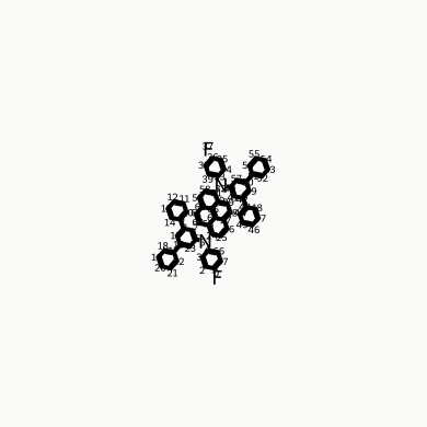 Fc1ccc(N(c2cc(-c3ccccc3)cc(-c3ccccc3)c2)c2ccc3ccc4c(N(c5ccc(F)cc5)c5cc(-c6ccccc6)cc(-c6ccccc6)c5)ccc5ccc2c3c54)cc1